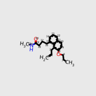 C=CCc1c(OCCC)ccc2cccc(CCCC(=O)NC)c12